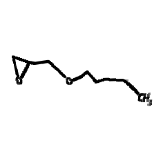 C[CH]CCOCC1CO1